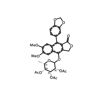 COc1cc2c(OC3O[C@@H](C)[C@@H](OC(C)=O)[C@@H](OC(C)=O)[C@H]3OC(C)=O)c3c(c(-c4ccc5c(c4)OCO5)c2cc1OC)C(=O)OC3